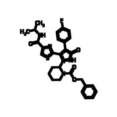 CC(C)NC(=O)c1csc(-c2c(-c3ccc(F)cc3)c(=O)[nH]n2C2CCCCN2C(=O)OCc2ccccc2)n1